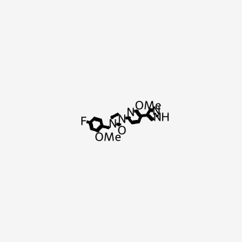 COc1cc(F)ccc1CN1CCN(c2ccc(-c3cn[nH]c3)c(OC)n2)C1=O